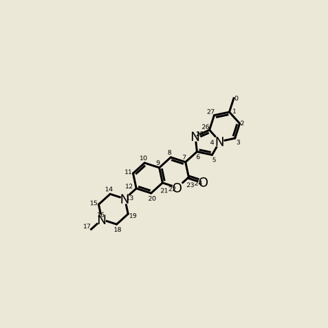 Cc1ccn2cc(-c3cc4ccc(N5CCN(C)CC5)cc4oc3=O)nc2c1